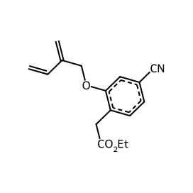 C=CC(=C)COc1cc(C#N)ccc1CC(=O)OCC